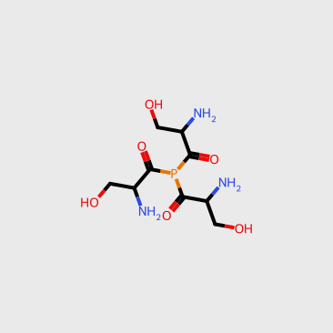 NC(CO)C(=O)P(C(=O)C(N)CO)C(=O)C(N)CO